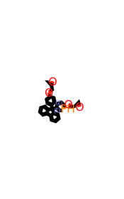 C/C=C(\C=C/C(=P)OCC1CO1)C1(c2ccc(OCC3CO3)cc2)c2ccccc2-c2ccccc21